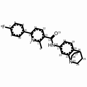 Cc1nc(-c2ccc(F)cc2)ccc1C(=O)Nc1ccc2c(c1)N1CCC2CC1